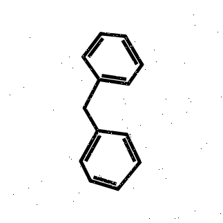 [c]1ccccc1Cc1ccccc1